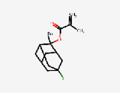 C=C(C)C(=O)OC1(C(C)CC)C2CC3CC1CC(F)(C3)C2